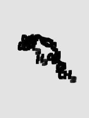 COC(=O)[C@]1(C)OC[C@H](Cc2ccc(OCCc3nc(-c4ccc(C)s4)oc3C)cc2)CO1